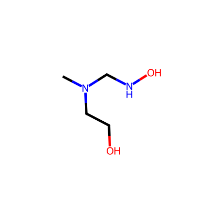 CN(CCO)CNO